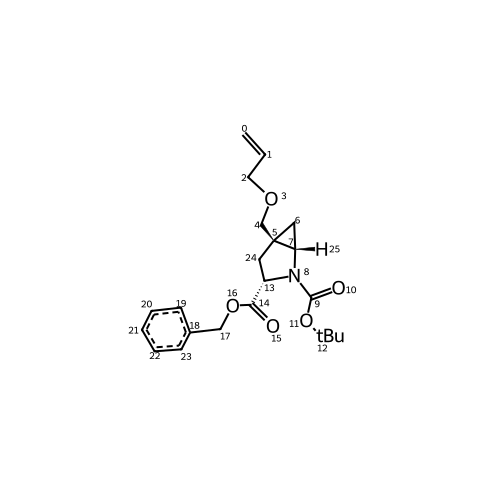 C=CCOC[C@@]12C[C@@H]1N(C(=O)OC(C)(C)C)[C@H](C(=O)OCc1ccccc1)C2